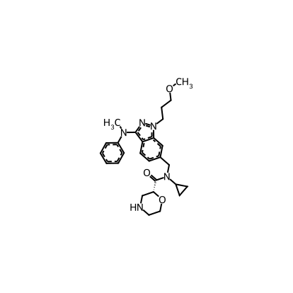 COCCCn1nc(N(C)c2ccccc2)c2ccc(CN(C(=O)[C@H]3CNCCO3)C3CC3)cc21